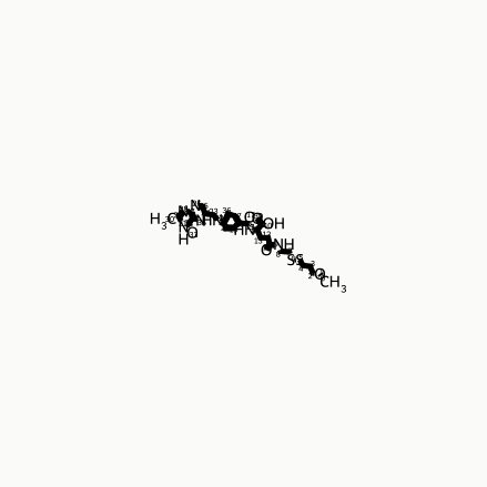 COCCCSSCCNC(=O)CCC(NC(=O)c1ccc(NCc2cnc3nc(C)[nH]c(=O)c3n2)cc1)C(=O)O